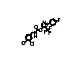 O=C(NCc1ccc(Cl)c(Cl)c1)Oc1cnn(-c2ccc(F)cc2)c1C(F)(F)F